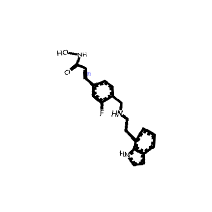 O=C(/C=C/c1ccc(CNCCc2cccc3cc[nH]c23)c(F)c1)NO